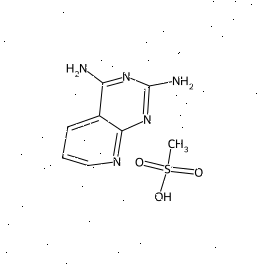 CS(=O)(=O)O.Nc1nc(N)c2cccnc2n1